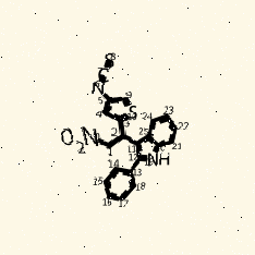 O=[N+]([O-])CC(c1cc(N=C=S)cs1)c1c(-c2ccccc2)[nH]c2ccccc12